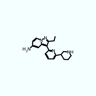 CCc1nn2ccc(N)cc2c1-c1cccc(C2CCCNC2)n1